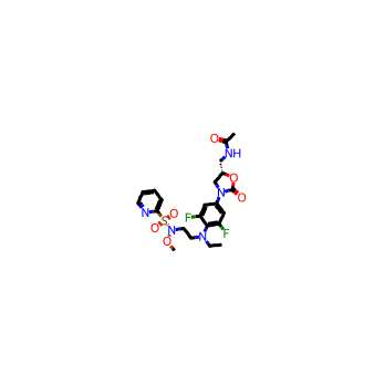 CCN(CCN(OC)S(=O)(=O)c1ccccn1)c1c(F)cc(N2C[C@H](CNC(C)=O)OC2=O)cc1F